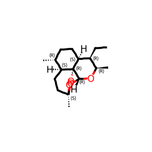 CC[C@H]1[C@@H](C)O[C@@H]2O[C@]3(C)CC[C@H]4[C@H](C)CC[C@@H]1[C@@]24OO3